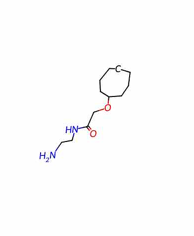 NCCNC(=O)COC1CCCCCCC1